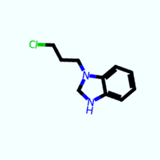 ClCCCN1CNc2ccccc21